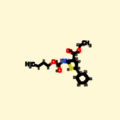 CCCCOC(=O)Nc1sc(-c2ccccc2)cc1C(=O)OCC